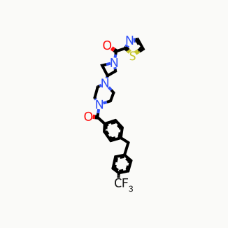 O=C(c1ccc(Cc2ccc(C(F)(F)F)cc2)cc1)N1CCN(C2CN(C(=O)c3nccs3)C2)CC1